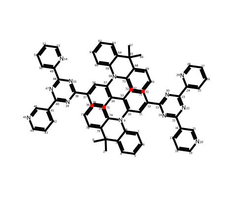 CC1(C)c2ccccc2N(c2cc(-c3nc(-c4cccnc4)nc(-c4ccccn4)n3)ccc2-c2ccc(-c3nc(-c4cccnc4)nc(-c4ccccn4)n3)cc2N2c3ccccc3C(C)(C)c3ccccc32)c2ccccc21